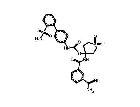 N=C(N)c1cccc(C(=O)NC2(OC(=O)Nc3ccc(-c4ccccc4S(N)(=O)=O)cc3)CCS(=O)(=O)CC2)c1